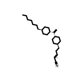 C=C([C@H]1CC[C@H](CC/C=C/C#N)CC1)[C@H]1CC[C@H](CCCCCCC)CC1